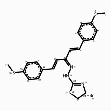 Br.CSc1ccc(C=CC(C=Cc2ccc(SC)cc2)=NNC2=NCCN2)cc1